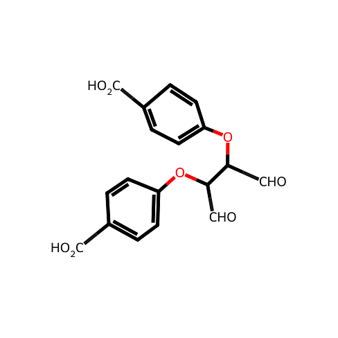 O=CC(Oc1ccc(C(=O)O)cc1)C(C=O)Oc1ccc(C(=O)O)cc1